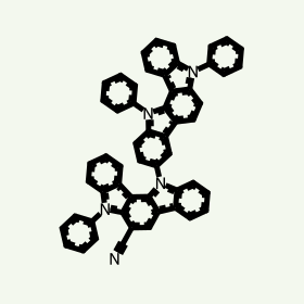 N#Cc1cc2c3ccccc3n(-c3ccc4c(c3)c3ccc5c(c6ccccc6n5-c5ccccc5)c3n4-c3ccccc3)c2c2c3ccccc3n(-c3ccccc3)c12